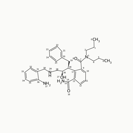 CCCN(CCC)C(=O)c1cccc(C(N)=O)c1[C@H](Cc1ccccc1)[C@@H](O)CNCc1ccccc1N